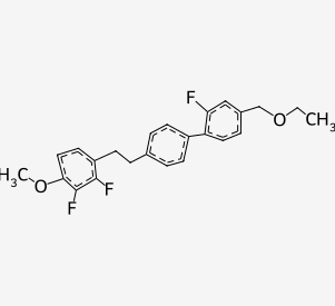 CCOCc1ccc(-c2ccc(CCc3ccc(OC)c(F)c3F)cc2)c(F)c1